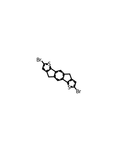 Brc1cc2c(s1)-c1cc3c(cc1C2)-c1sc(Br)cc1C3